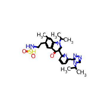 Cc1cc2c(cc1CCN[SH](=O)=O)c(=O)c(-c1cccc(-c3nncn3C(C)C)n1)cn2C(C)C